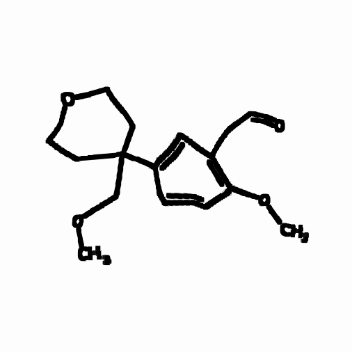 COCC1(c2ccc(OC)c(C=O)c2)CCOCC1